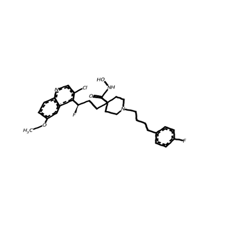 COc1ccc2ncc(Cl)c([C@H](F)CCC3(C(=O)NO)CCN(CCCCc4ccc(F)cc4)CC3)c2c1